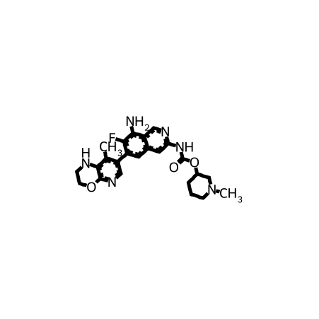 Cc1c(-c2cc3cc(NC(=O)OC4CCCN(C)C4)ncc3c(N)c2F)cnc2c1NCCO2